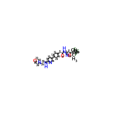 CC(C)(c1cc(NC(=O)Cc2ccc(-c3ccc(NCCN4CCOCC4)nc3)cc2)no1)C(F)(F)F